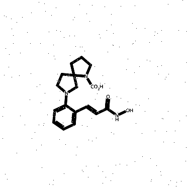 O=C(C=Cc1ccccc1N1CCC2(CCCN2C(=O)O)C1)NO